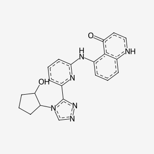 O=c1cc[nH]c2cccc(Nc3cccc(-c4nncn4C4CCCC4O)n3)c12